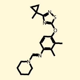 Cc1c(N=CN2CCCCC2)ccc(Oc2nc(C3(C)CC3)ns2)c1C